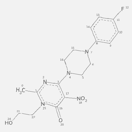 Cc1nc(N2CCN(c3ccc(F)cc3)CC2)c([N+](=O)[O-])c(=O)n1CCO